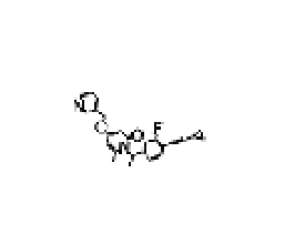 Cc1cc(OCc2cccnc2)cc(=O)n1[C@H](C)c1ccc(C#CC2CC2)c(F)c1